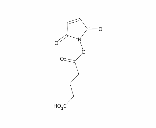 O=C(O)CCCC(=O)ON1C(=O)C=CC1=O